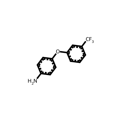 Nc1ccc(Oc2cccc(C(F)(F)F)c2)cc1